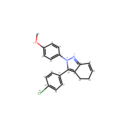 COc1ccc(-n2nc3c(c2-c2ccc(Cl)cc2)CCC=C3)cc1